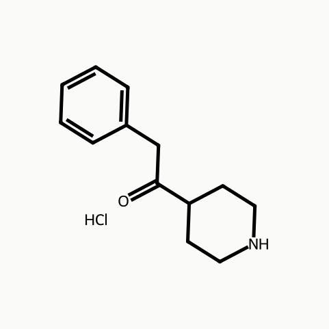 Cl.O=C(Cc1ccccc1)C1CCNCC1